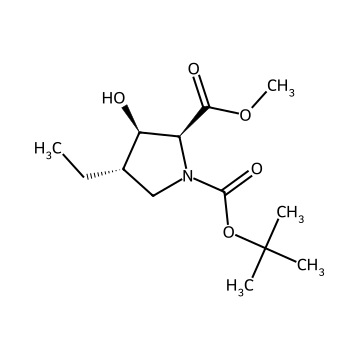 CC[C@H]1CN(C(=O)OC(C)(C)C)[C@H](C(=O)OC)[C@@H]1O